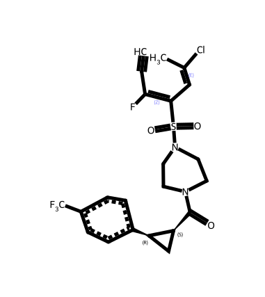 C#C/C(F)=C(\C=C(/C)Cl)S(=O)(=O)N1CCN(C(=O)[C@H]2C[C@H]2c2ccc(C(F)(F)F)cc2)CC1